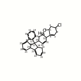 ClC1CC=C2C(C1)O[C@H]1CC(C3(c4ccccc4)C4CC=CC=C4C4C=CC=CC43)C=CC21